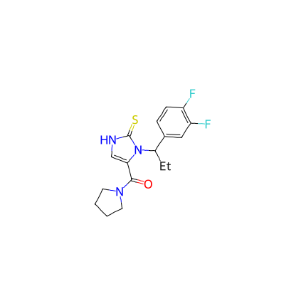 CCC(c1ccc(F)c(F)c1)n1c(C(=O)N2CCCC2)c[nH]c1=S